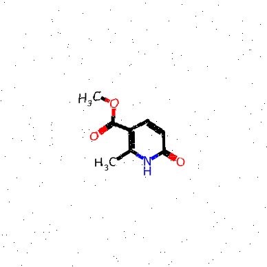 COC(=O)c1ccc(=O)[nH]c1C